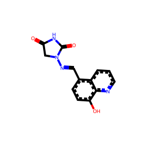 O=C1CN(/N=C/c2ccc(O)c3ncccc23)C(=O)N1